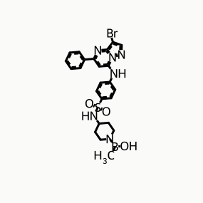 CB(O)N1CCC(NS(=O)(=O)c2ccc(Nc3cc(-c4ccccc4)nc4c(Br)cnn34)cc2)CC1